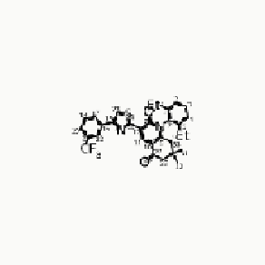 CCc1cccc(CC)c1-n1c2c(cc(-c3nc(-c4cccc(C(F)(F)F)c4)cs3)c1=O)C(=O)CC(C)(C)C2